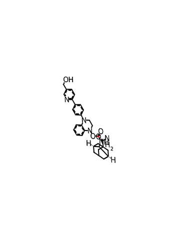 NC(=O)C12CC3C[C@H](C1)C(NC(=O)ON1CCN(c4ccc(-c5ccc(CO)cn5)cc4)c4ccccc41)[C@@H](C3)C2